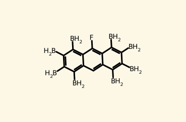 Bc1c(B)c(B)c2c(F)c3c(B)c(B)c(B)c(B)c3cc2c1B